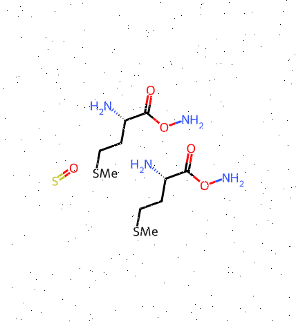 CSCC[C@H](N)C(=O)ON.CSCC[C@H](N)C(=O)ON.O=S